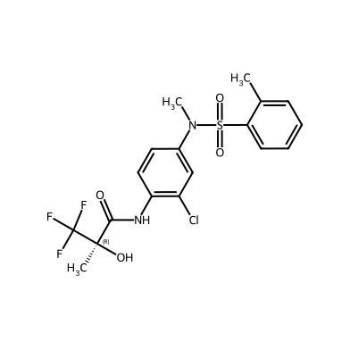 Cc1ccccc1S(=O)(=O)N(C)c1ccc(NC(=O)[C@@](C)(O)C(F)(F)F)c(Cl)c1